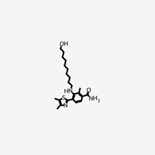 Cc1nc(-c2ccc(C(N)=O)c(C)c2NCCCCCCCCCCO)sc1C